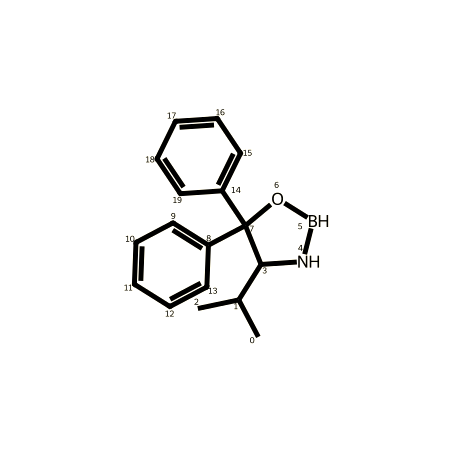 CC(C)C1NBOC1(c1ccccc1)c1ccccc1